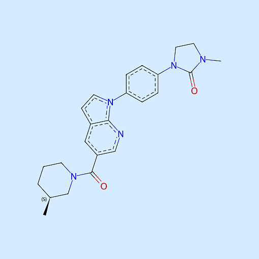 C[C@H]1CCCN(C(=O)c2cnc3c(ccn3-c3ccc(N4CCN(C)C4=O)cc3)c2)C1